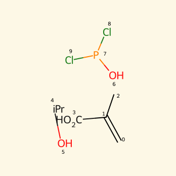 C=C(C)C(=O)O.CC(C)O.OP(Cl)Cl